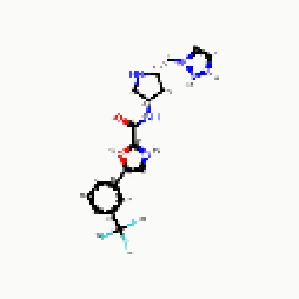 O=C(N[C@H]1CN[C@H](Cn2ccnn2)C1)c1ncc(-c2cccc(C(F)(F)F)c2)o1